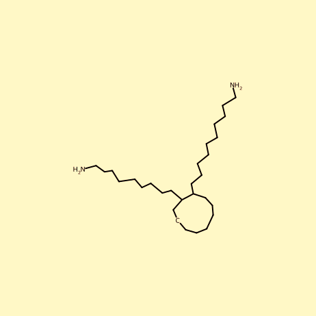 NCCCCCCCCCCC1CCCCCCCCC1CCCCCCCCCN